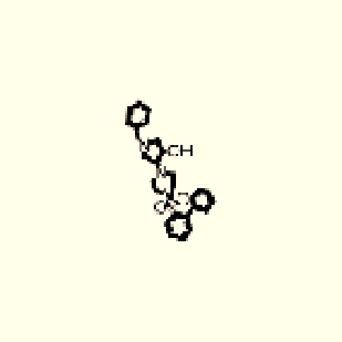 O=S(=O)(c1ccccc1-c1ccccc1)N1CCN(C2CN(Cc3ccccc3)CC2O)CC1